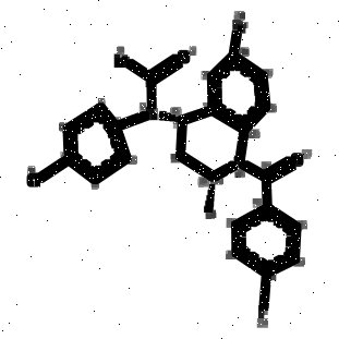 CCC(=O)N(c1ccc(Cl)cc1)[C@H]1C[C@@H](C)N(C(=O)c2ccc(F)cc2)c2ccc(Br)cc21